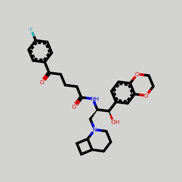 O=C(CCCC(=O)c1ccc(F)cc1)N[C@H](CN1CCCC2CCC21)[C@H](O)c1ccc2c(c1)OCCO2